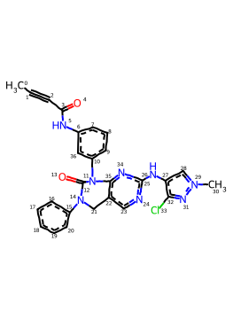 CC#CC(=O)Nc1cccc(N2C(=O)N(c3ccccc3)Cc3cnc(Nc4cn(C)nc4Cl)nc32)c1